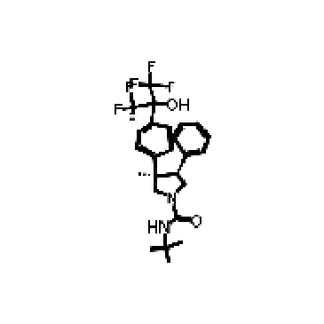 CC(C)(C)NC(=O)N1C[C@H](c2ccccc2)[C@](C)(c2ccc(C(O)(C(F)(F)F)C(F)(F)F)cc2)C1